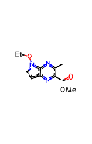 CCOn1ccc2nc(C(=O)OC)c(C)nc21